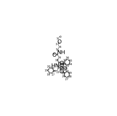 CCOCCCNC(=O)CCC(=O)NC(Cc1ccccc1)P(=O)(Oc1ccccc1)Oc1ccccc1